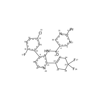 CC(C)c1ncc(C(=O)Nc2c(-c3cc(Cl)ccc3F)ccnc2C2=CCC(F)(F)CC2)cn1